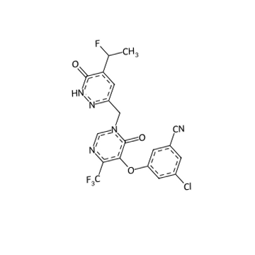 CC(F)c1cc(Cn2cnc(C(F)(F)F)c(Oc3cc(Cl)cc(C#N)c3)c2=O)n[nH]c1=O